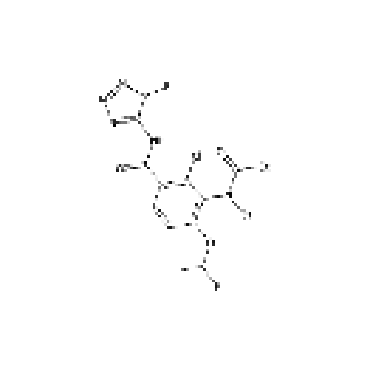 CCC(=O)N(CC)c1c(OC(F)F)ccc(C(=O)Nc2nnnn2CC)c1Cl